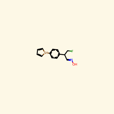 ON=CC(CF)c1ccc([SH]2C=CC=C2)cc1